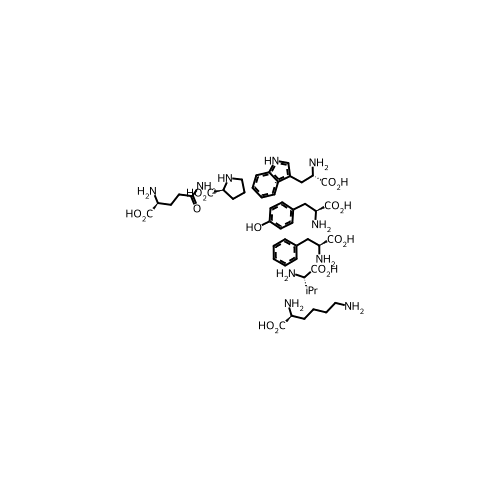 CC(C)[C@H](N)C(=O)O.NC(=O)CC[C@H](N)C(=O)O.NCCCC[C@H](N)C(=O)O.N[C@@H](Cc1c[nH]c2ccccc12)C(=O)O.N[C@@H](Cc1ccc(O)cc1)C(=O)O.N[C@@H](Cc1ccccc1)C(=O)O.O=C(O)[C@@H]1CCCN1